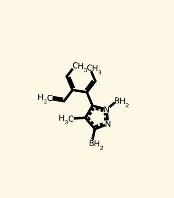 Bc1nn(B)c(C(=C/C)/C(C=C)=C\C)c1C